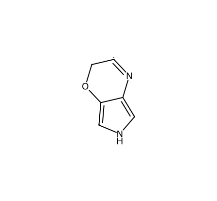 [C]1=Nc2c[nH]cc2OC1